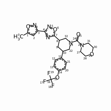 Cc1cc(-c2noc(C3CC(c4ccc(OC(F)(F)F)cc4)CN(C(=O)N4CCOCC4)C3)n2)no1